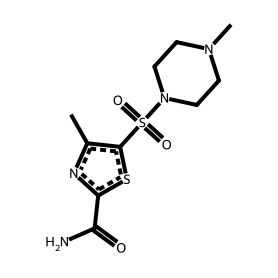 Cc1nc(C(N)=O)sc1S(=O)(=O)N1CCN(C)CC1